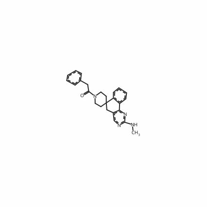 CNc1ncc2c(n1)-c1ccccc1C1(CCN(C(=O)Cc3ccccc3)CC1)C2